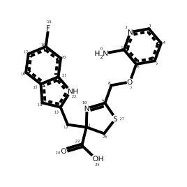 Nc1ncccc1OCC1=NC(Cc2cc3ccc(F)cc3[nH]2)(C(=O)O)CS1